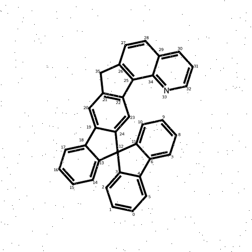 c1ccc2c(c1)-c1ccccc1C21c2ccccc2-c2cc3c(cc21)-c1c(ccc2cccnc12)C3